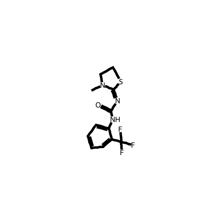 CN1CCS/C1=N/C(=O)Nc1ccccc1C(F)(F)F